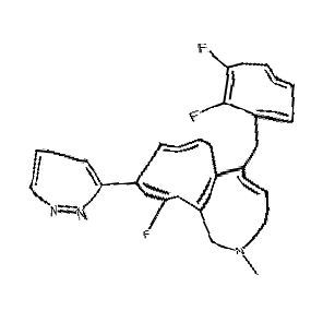 CN1CC=C(c2cccc(F)c2F)c2ccc(-c3cccnn3)c(F)c2C1